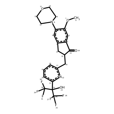 COc1cc2c(cc1N1CCOCC1)CC(Cc1cccc(C(O)(C(F)(F)F)C(F)(F)F)n1)C2=O